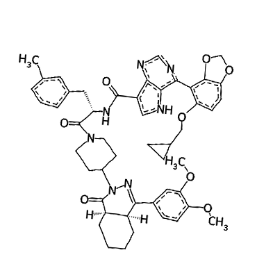 COc1ccc(C2=NN(C3CCN(C(=O)[C@H](Cc4cccc(C)c4)NC(=O)c4c[nH]c5c(-c6c(OCC7CC7)ccc7c6OCO7)ncnc45)CC3)C(=O)[C@@H]3CCCC[C@H]23)cc1OC